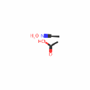 CC#N.CC(=O)O.O